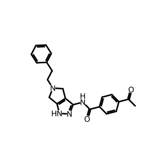 CC(=O)c1ccc(C(=O)Nc2n[nH]c3c2CN(CCc2ccccc2)C3)cc1